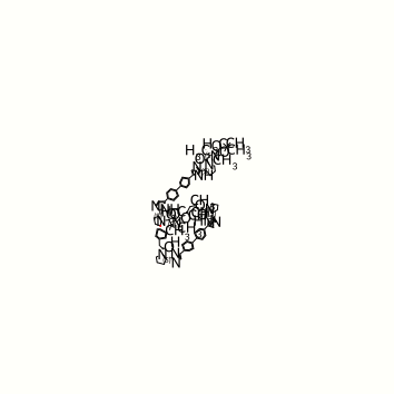 C[C@@H](C(=O)N1CCC[C@H]1c1ncc(-c2ccc(-c3ccc(-c4cnc([C@@H]5CCCN5C(=O)[C@H](C)N(C)C(=O)OC(C)(C)CC(C)(C)OC(=O)N5CCC[C@H]5c5ncc(-c6ccc(-c7ccc(-c8cnc([C@@H]9CCCN9C(=O)Cc9ccccc9)[nH]8)cc7)cc6)[nH]5)[nH]4)cc3)cc2)[nH]1)N(C)C(=O)OC(C)(C)C